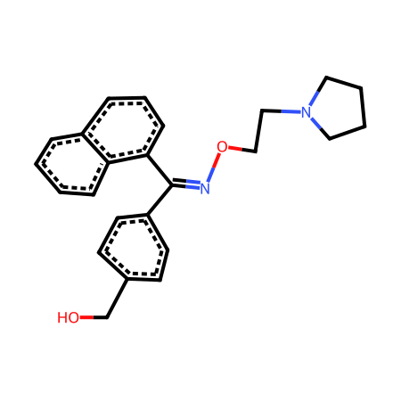 OCc1ccc(/C(=N/OCCN2CCCC2)c2cccc3ccccc23)cc1